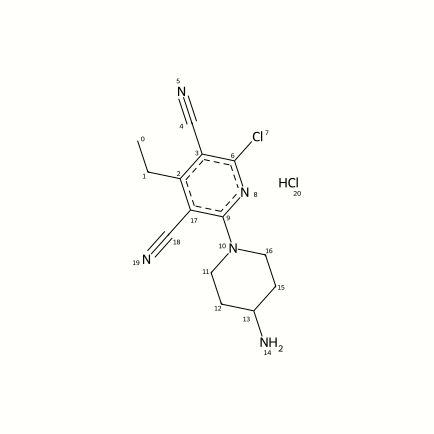 CCc1c(C#N)c(Cl)nc(N2CCC(N)CC2)c1C#N.Cl